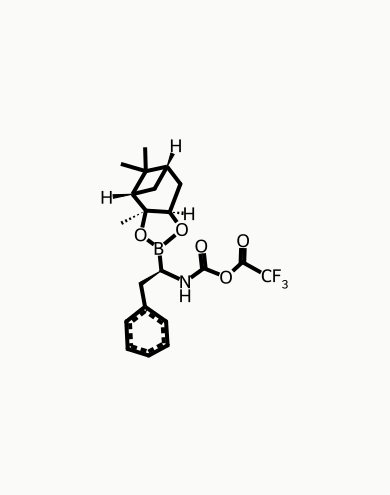 CC1(C)[C@@H]2C[C@H]3OB([C@H](Cc4ccccc4)NC(=O)OC(=O)C(F)(F)F)O[C@@]3(C)[C@H]1C2